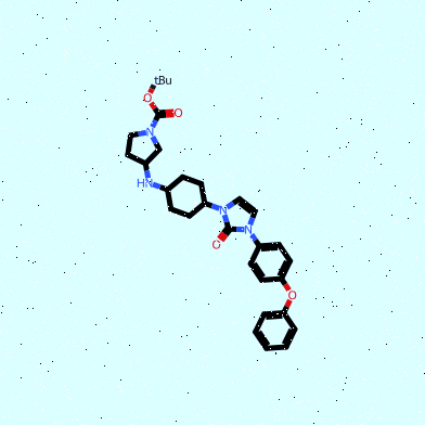 CC(C)(C)OC(=O)N1CCC(NC2CCC(n3ccn(-c4ccc(Oc5ccccc5)cc4)c3=O)CC2)C1